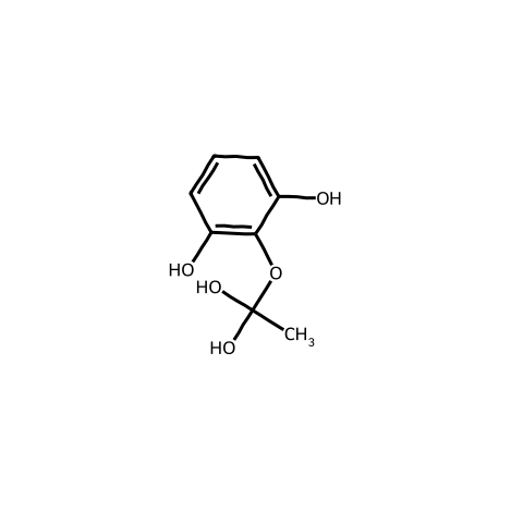 CC(O)(O)Oc1c(O)cccc1O